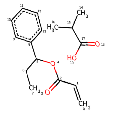 C=CC(=O)OC(CC)c1ccccc1.CC(C)C(=O)O